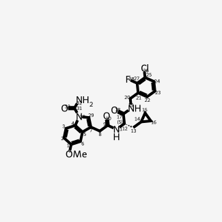 COc1ccc2c(c1)c(CC(=O)N[C@@H](CC1CC1)C(=O)NCc1cccc(Cl)c1F)cn2C(N)=O